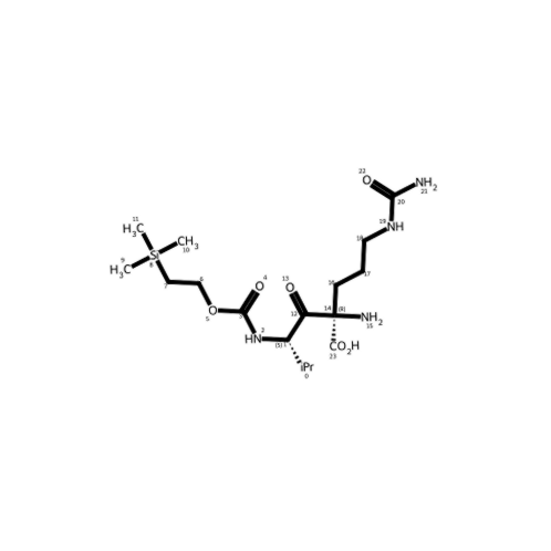 CC(C)[C@H](NC(=O)OCC[Si](C)(C)C)C(=O)[C@](N)(CCCNC(N)=O)C(=O)O